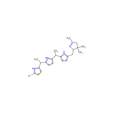 CC1=NC(Cc2ccc(C(C)c3ccc(C(C)c4ccc(Br)[nH]4)[nH]3)[nH]2)C(C)(C)C1